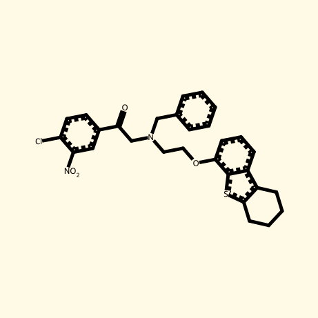 O=C(CN(CCOc1cccc2c3c(sc12)CCCC3)Cc1ccccc1)c1ccc(Cl)c([N+](=O)[O-])c1